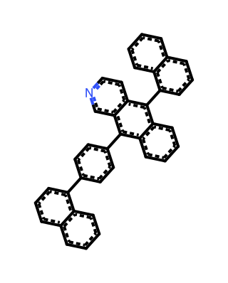 c1ccc2c(-c3ccc(-c4c5ccccc5c(-c5cccc6ccccc56)c5ccncc45)cc3)cccc2c1